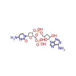 Nc1ccn([C@H]2C[C@H](OP(=O)(O)OC[C@H]3C[C@@H](O)[C@H](n4cnc5c(N)ncnc54)O3)[C@@H](COP(=O)(O)O)O2)c(=O)n1